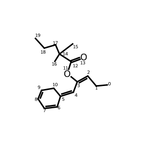 CC/C=C(\C=C1\C=CC=CC1)OC(=O)C(C)(C)CCC